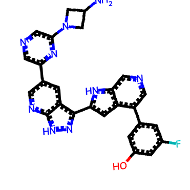 NC1CN(c2cncc(-c3cnc4[nH]nc(-c5cc6c(-c7cc(O)cc(F)c7)cncc6[nH]5)c4c3)n2)C1